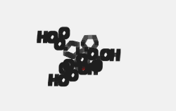 O=C(O)OC1C=CC(OC(=O)O)(C2(C3(OC(=O)O)C=CC(OC(=O)O)C=C3)CCCCC2)C=C1